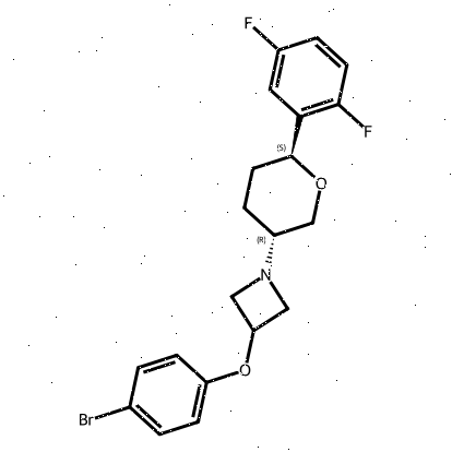 Fc1ccc(F)c([C@@H]2CC[C@@H](N3CC(Oc4ccc(Br)cc4)C3)CO2)c1